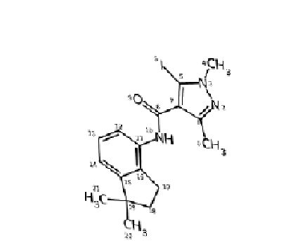 Cc1nn(C)c(I)c1C(=O)Nc1cccc2c1CCC2(C)C